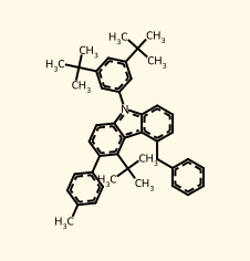 Cc1ccc(-c2ccc3c(c2C(C)(C)C)c2c(Cc4ccccc4)cccc2n3-c2cc(C(C)(C)C)cc(C(C)(C)C)c2)cc1